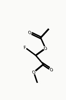 COC(=O)C(F)OC(C)=O